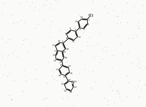 CCc1ccc(-c2ccc(-c3ccc4ccc(-c5ccc(-c6ccccn6)cc5)cc4c3)cc2)cc1